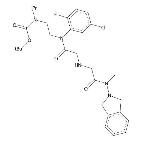 CC(C)N(CCN(C(=O)CNCC(=O)N(C)N1Cc2ccccc2C1)c1cc(Cl)ccc1F)C(=O)OC(C)(C)C